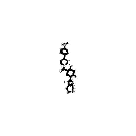 CNc1ccc(C2CCN(C(=O)c3cc(-c4nc5c([nH]4)CCNC5)c(C)cc3C)CC2)cc1